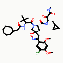 CNC(=O)C(=O)[C@H](CC1CC1)NC(=O)[C@@H]1C[C@]2(CC(c3cc(Cl)c(OC)cc3OC)=NO2)CN1C(=O)[C@@H](NC(=O)CC1CCCCCC1)C(C)(C)C